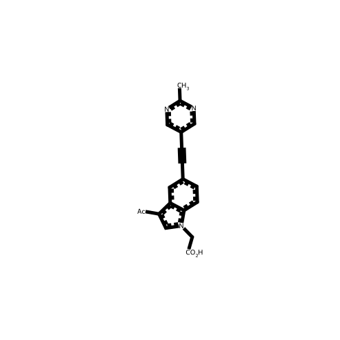 CC(=O)c1cn(CC(=O)O)c2ccc(C#Cc3cnc(C)nc3)cc12